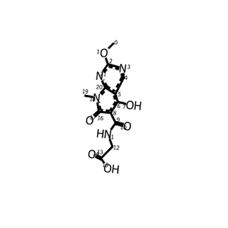 COc1ncc2c(O)c(C(=O)NCC(=O)O)c(=O)n(C)c2n1